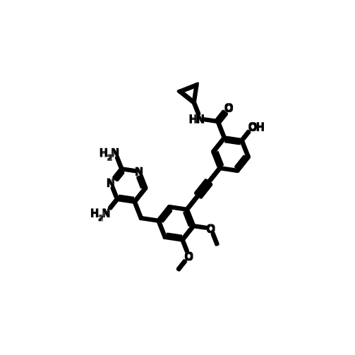 COc1cc(Cc2cnc(N)nc2N)cc(C#Cc2ccc(O)c(C(=O)NC3CC3)c2)c1OC